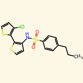 CCCc1ccc(S(=O)(=O)Nc2ccsc2-c2sccc2Cl)cc1